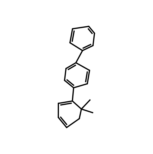 CC1(C)CC=CC=C1c1ccc(-c2ccccc2)cc1